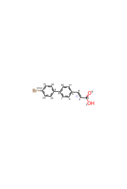 O=C(O)/C=C/c1ccc(-c2ccc(Br)cc2)cc1